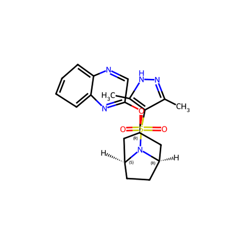 Cc1n[nH]c(C)c1S(=O)(=O)N1[C@@H]2CC[C@H]1C[C@@H](Oc1cnc3ccccc3n1)C2